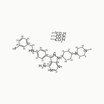 CC(=O)O.CC(=O)O.CC(=O)O.CN1CCN(C2CCC(n3nc(-c4ccc(NCc5cccc(F)c5)cc4)c4c(N)ncnc43)CC2)CC1